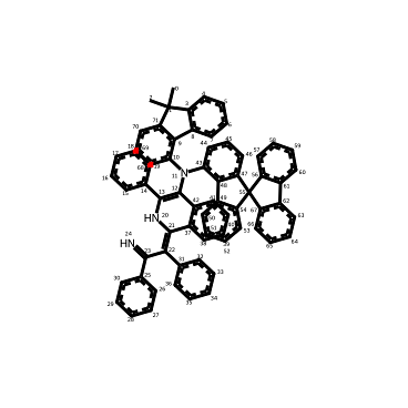 CC1(C)c2ccccc2-c2c(N(C3=C(c4ccccc4)N/C(=C(\C(=N)c4ccccc4)c4ccccc4)c4ccccc43)c3cccc4c3-c3ccccc3C43c4ccccc4-c4ccccc43)cccc21